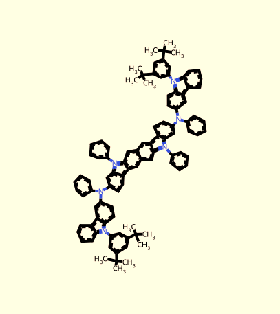 CC(C)(C)c1cc(-n2c3ccccc3c3cc(N(c4ccccc4)c4ccc5c6cc7cc8c(cc7cc6n(-c6ccccc6)c5c4)c4ccc(N(c5ccccc5)c5ccc6c(c5)c5ccccc5n6-c5cc(C(C)(C)C)cc(C(C)(C)C)c5)cc4n8-c4ccccc4)ccc32)cc(C(C)(C)C)c1